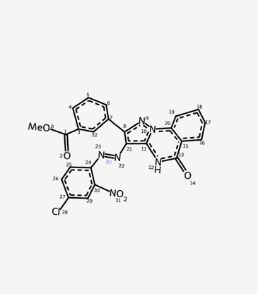 COC(=O)c1cccc(-c2nn3c([nH]c(=O)c4ccccc43)c2/N=N/c2ccc(Cl)cc2[N+](=O)[O-])c1